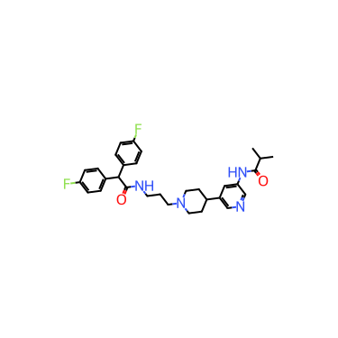 CC(C)C(=O)Nc1cncc(C2CCN(CCCNC(=O)C(c3ccc(F)cc3)c3ccc(F)cc3)CC2)c1